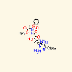 CCCOC(=O)[C@H](C)NP(=O)(OC[C@H]1O[C@@H](n2cnc3c(OC)nc(N)nc32)C(C)(C#N)[C@@H]1O)Oc1ccccc1